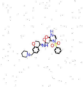 O=C(C[C@@H]1C(=O)NC=CN1S(=O)(=O)c1ccccc1)N[C@@H]1CCOc2cc(CN3CCCCC3)ccc21